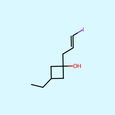 CCC1CC(O)(C/C=C/I)C1